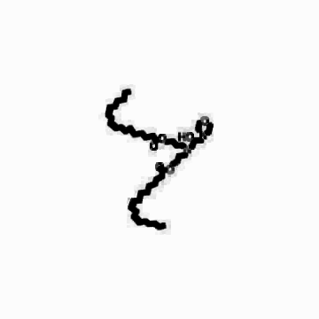 CCCCC/C=C\C/C=C\CCCCCCCC(=O)OCCCCN(CCCCOC(=O)CCCCCCC/C=C\C/C=C\CCCCC)CC(O)CN1CCOCC1